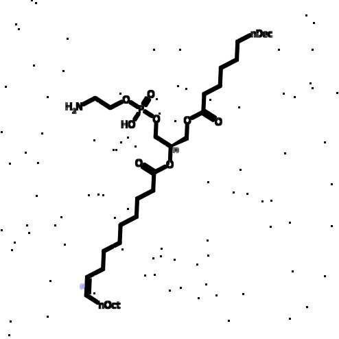 CCCCCCCC/C=C\CCCCCCCC(=O)O[C@H](COC(=O)CCCCCCCCCCCCCCC)COP(=O)(O)OCCN